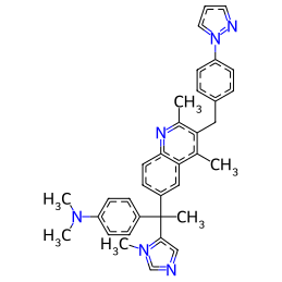 Cc1nc2ccc(C(C)(c3ccc(N(C)C)cc3)c3cncn3C)cc2c(C)c1Cc1ccc(-n2cccn2)cc1